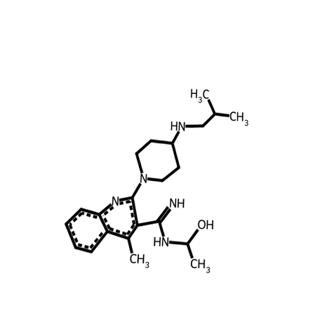 Cc1c(C(=N)NC(C)O)c(N2CCC(NCC(C)C)CC2)nc2ccccc12